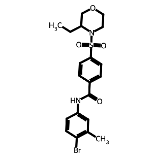 CCC1COCCN1S(=O)(=O)c1ccc(C(=O)Nc2ccc(Br)c(C)c2)cc1